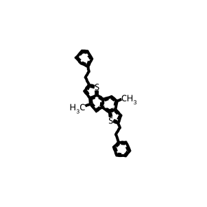 Cc1cc2c(cc(C)c3cc(CCc4ccccc4)sc32)c2sc(CCc3ccccc3)cc12